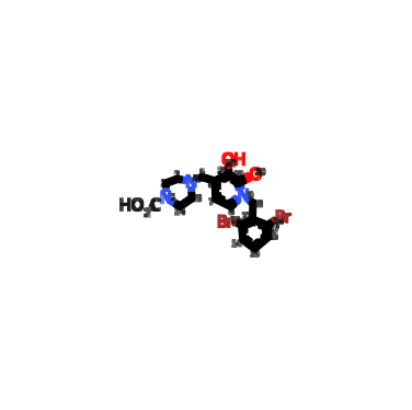 O=C(O)N1CCN(Cc2ccn(Cc3c(Br)cccc3Br)c(=O)c2O)CC1